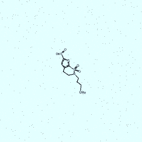 COCCCN1CCc2cc([SH](=O)=O)sc2S1(=O)=O